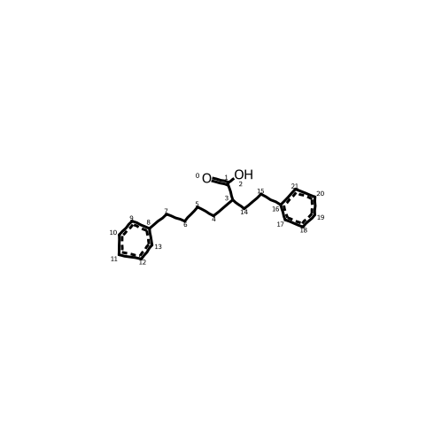 O=C(O)C(CCCCc1ccccc1)CCc1ccccc1